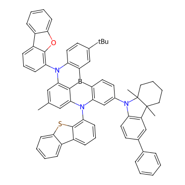 Cc1cc2c3c(c1)N(c1cccc4c1sc1ccccc14)c1cc(N4c5ccc(-c6ccccc6)cc5C5(C)CCCCC45C)ccc1B3c1cc(C(C)(C)C)ccc1N2c1cccc2c1oc1ccccc12